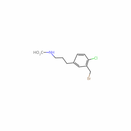 O=C(O)NCCCc1ccc(Cl)c(CBr)c1